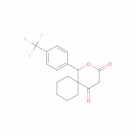 O=C1CC(=O)C2(CCCCC2)C(c2ccc(C(F)(F)F)cc2)O1